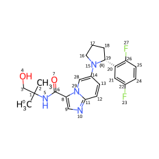 CC(C)(CO)NC(=O)c1cnc2ccc(N3CCC[C@@H]3c3cc(F)ccc3F)cn12